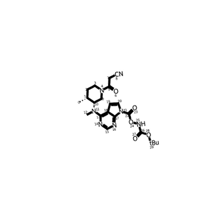 C[C@@H]1CCN(C(=O)CC#N)C[C@@H]1N(C)c1ncnc2c1ccn2C(=O)ONC(=O)OC(C)(C)C